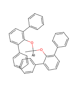 C[C]([Al])(Oc1c(-c2ccccc2)cccc1-c1ccccc1)Oc1c(-c2ccccc2)cccc1-c1ccccc1